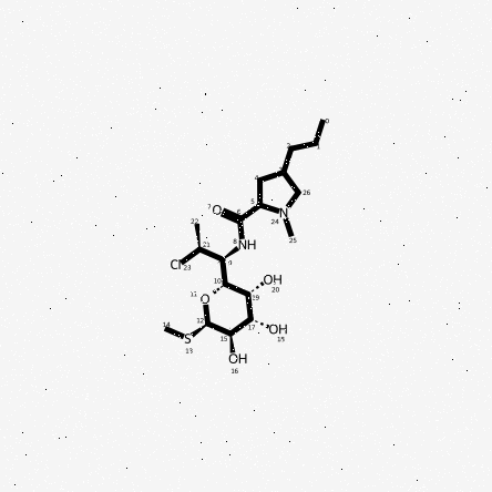 CCCC1CC(C(=O)N[C@@H]([C@H]2O[C@H](SC)[C@H](O)[C@@H](O)[C@H]2O)[C@H](C)Cl)N(C)C1